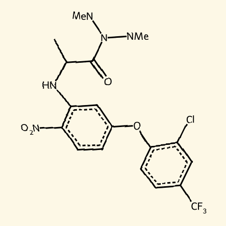 CNN(NC)C(=O)C(C)Nc1cc(Oc2ccc(C(F)(F)F)cc2Cl)ccc1[N+](=O)[O-]